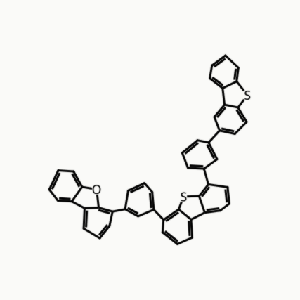 c1cc(-c2ccc3sc4ccccc4c3c2)cc(-c2cccc3c2sc2c(-c4cccc(-c5cccc6c5oc5ccccc56)c4)cccc23)c1